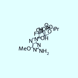 COc1nc(N)nc2c1ncn2[C@@H]1O[C@@H]2CO[P@](=O)(OC(C)C)O[C@H]2[C@@]1(C)F